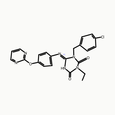 CCn1c(=O)[nH]/c(=N\c2ccc(Oc3ncccn3)cc2)n(Cc2ccc(Cl)cc2)c1=O